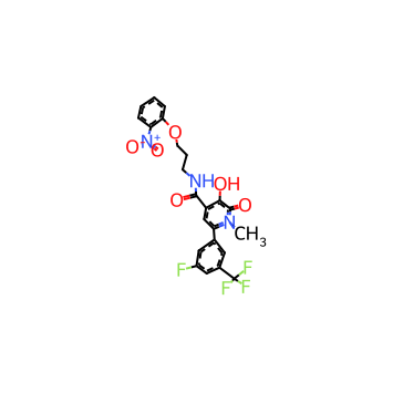 Cn1c(-c2cc(F)cc(C(F)(F)F)c2)cc(C(=O)NCCCOc2ccccc2[N+](=O)[O-])c(O)c1=O